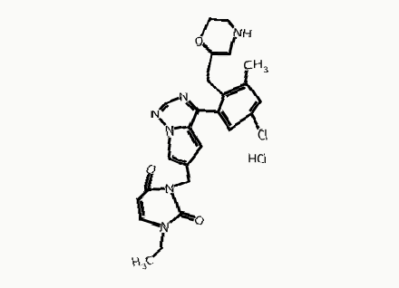 CCn1ccc(=O)n(Cc2cc3c(-c4cc(Cl)cc(C)c4CC4CNCCO4)ncnn3c2)c1=O.Cl